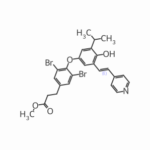 COC(=O)CCc1cc(Br)c(Oc2cc(/C=C/c3ccncc3)c(O)c(C(C)C)c2)c(Br)c1